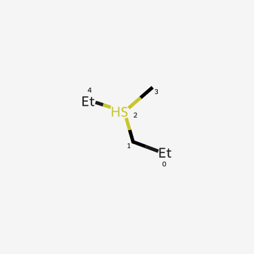 CCC[SH](C)CC